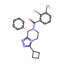 O=C(c1cccc(C(F)(F)F)c1Cl)N1CCn2c(C3CCC3)nnc2[C@@H]1c1ccccc1